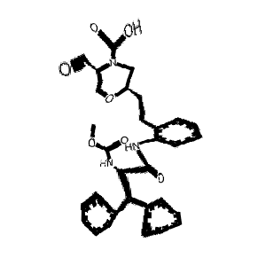 COC(=O)N[C@H](C(=O)Nc1ccccc1CC[C@@H]1CN(C(=O)O)[C@H](C=O)CO1)C(c1ccccc1)c1ccccc1